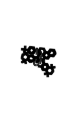 Cc1cc2c(cc1N1c3cc4ccccc4c4c3B(c3c1oc1cc5c(cc31)C(C)(C)CCC5(C)C)N(c1ccc(C(C)(C)C)cc1)CC4)C(C)(C)CCC2(C)C